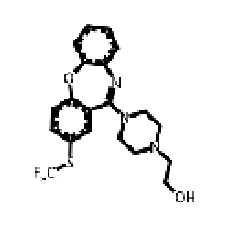 OCCN1CCN(C2=Nc3ccccc3Oc3ccc(SC(F)(F)F)cc32)CC1